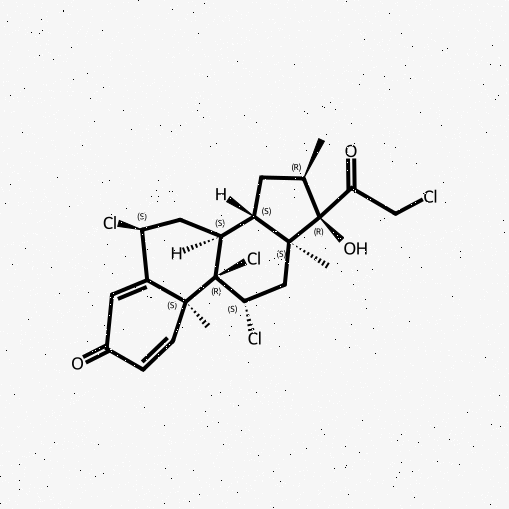 C[C@@H]1C[C@H]2[C@@H]3C[C@H](Cl)C4=CC(=O)C=C[C@]4(C)[C@@]3(Cl)[C@@H](Cl)C[C@]2(C)[C@@]1(O)C(=O)CCl